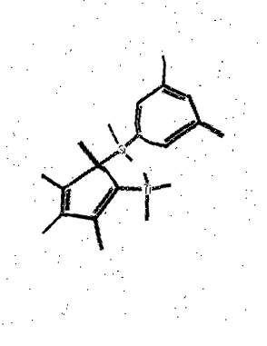 CC1=C(C)C(C)([Si](C)(C)c2cc(C)cc(C)c2)[C]([Ti]([CH3])([CH3])[CH3])=C1C